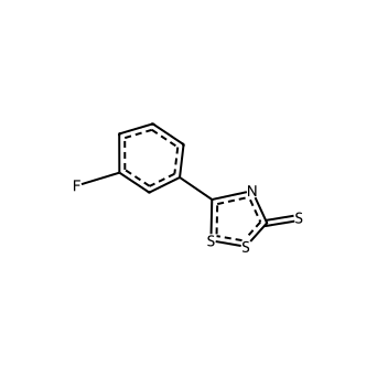 Fc1cccc(-c2nc(=S)ss2)c1